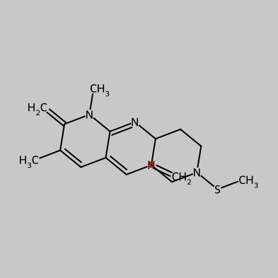 C=N/C=c1/cc(C)c(=C)n(C)/c1=N/C1CCN(SC)CC1